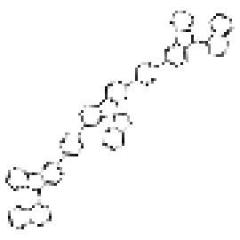 c1ccc2c(c1)CCC21c2cc(-c3ccc(-c4ccc5c(c4)c4ccccc4n5-c4cccc5ccccc45)cc3)ccc2-c2ccc(-c3ccc(-c4ccc5c(c4)c4ccccc4n5-c4cccc5ccccc45)cc3)cc21